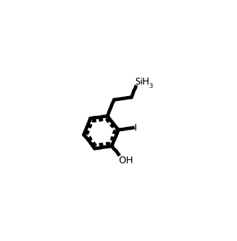 Oc1cccc(CC[SiH3])c1I